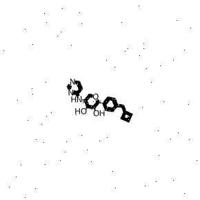 O[C@@H]1[C@H](O)[C@H](Nc2ccncn2)CO[C@@H]1c1ccc(CC2CCC2)cc1